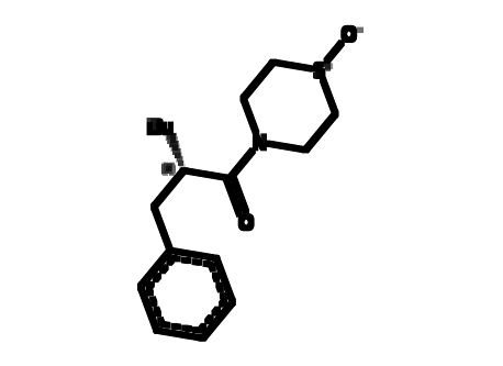 CCC(C)[C@@H](Cc1ccccc1)C(=O)N1CC[S+]([O-])CC1